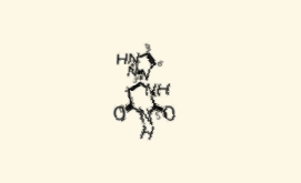 O=c1cc[nH]c(=O)[nH]1.c1c[nH]nn1